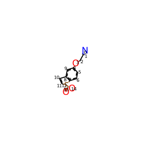 N#CCOc1ccc2c(c1)C=CS2(=O)=O